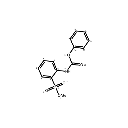 COS(=O)(=O)c1ccccc1NC(=O)Oc1ccccc1